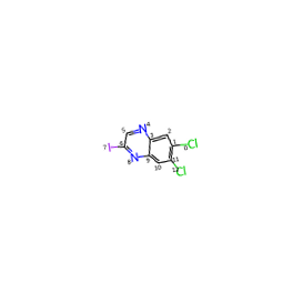 Clc1cc2ncc(I)nc2cc1Cl